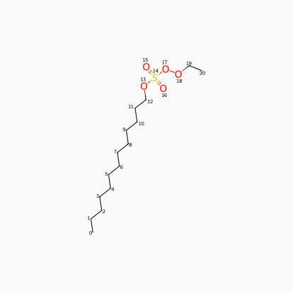 CCCCCCCCCCCCCOS(=O)(=O)OOCC